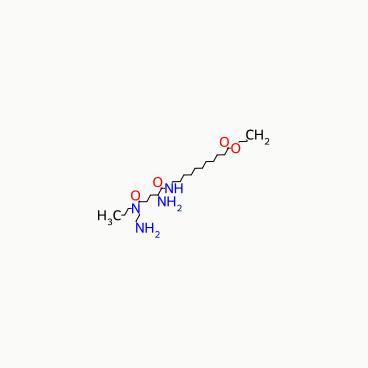 C=CCOC(=O)CCCCCCCCCCNC(=O)[C@@H](N)CCC(=O)N(CCC)CCN